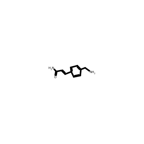 NCc1ccc(/C=C/C(N)=O)cc1